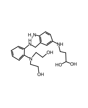 Nc1ccc(NCCC(O)O)cc1CNc1ccccc1N(CCO)CCO